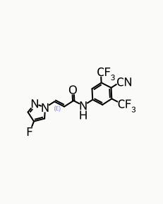 N#Cc1c(C(F)(F)F)cc(NC(=O)/C=C/n2cc(F)cn2)cc1C(F)(F)F